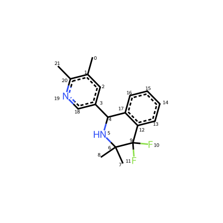 Cc1cc(C2NC(C)(C)C(F)(F)c3ccccc32)cnc1C